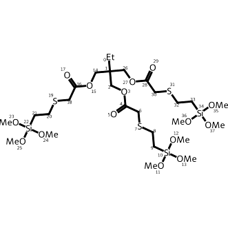 CCC(COC(=O)CSCC[Si](OC)(OC)OC)(COC(=O)CSCC[Si](OC)(OC)OC)COC(=O)CSCC[Si](OC)(OC)OC